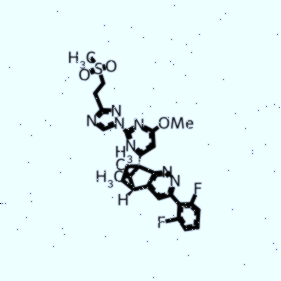 COc1cc([C@]23CC[C@@H](c4cc(-c5c(F)cccc5F)nnc42)C3(C)C)nc(-n2cnc(CCS(C)(=O)=O)n2)n1